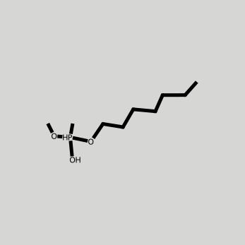 CCCCCCCO[PH](C)(O)OC